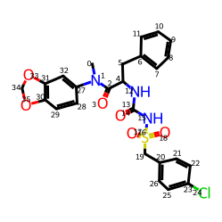 CN(C(=O)C(Cc1ccccc1)NC(=O)NS(=O)(=O)Cc1ccc(Cl)cc1)c1ccc2c(c1)OCO2